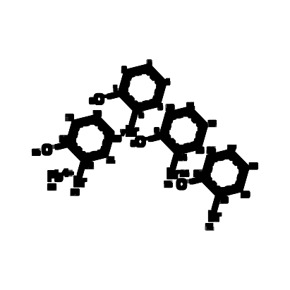 [O-]c1ccccc1Br.[O-]c1ccccc1Br.[O-]c1ccccc1Br.[O-]c1ccccc1Br.[Pb+4]